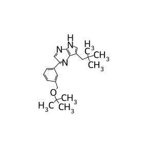 CC(C)(C)Cc1c[nH]c2ncc(-c3cccc(COC(C)(C)C)c3)nc12